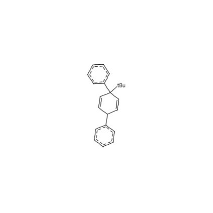 CC(C)(C)C1(c2ccccc2)C=CC(c2cc[c]cc2)C=C1